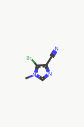 Cn1cnc(C#N)c1Br